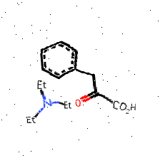 CCN(CC)CC.O=C(O)C(=O)Cc1ccccc1